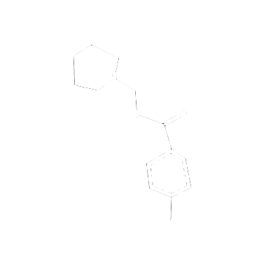 Cc1ccc(C(=O)SCN2CCCCC2)cc1